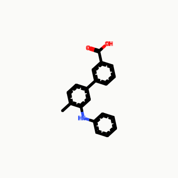 Cc1ccc(-c2cccc(C(=O)O)c2)cc1Nc1ccccc1